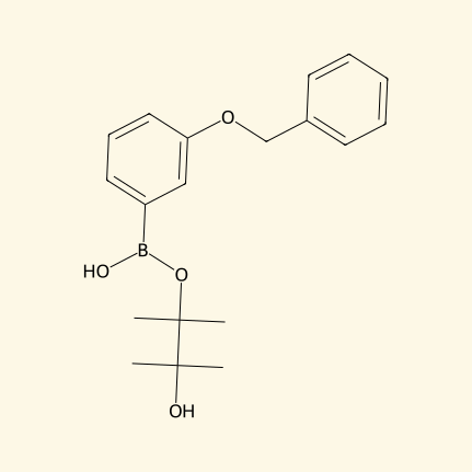 CC(C)(O)C(C)(C)OB(O)c1cccc(OCc2ccccc2)c1